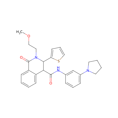 COCCN1C(=O)c2ccccc2C(C(=O)Nc2cccc(N3CCCC3)c2)C1c1cccs1